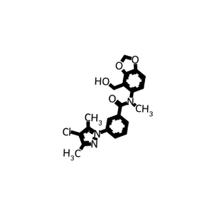 Cc1nn(-c2cccc(C(=O)N(C)c3ccc4c(c3CO)OCO4)c2)c(C)c1Cl